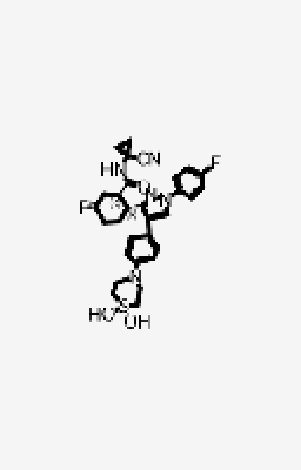 N#CC1(NC(=O)[C@@H]2C[C@@H](F)CC[C@H]2c2nn(-c3ccc(F)cc3)cc2-c2ccc(N3CCS(O)(O)CC3)cc2)CC1